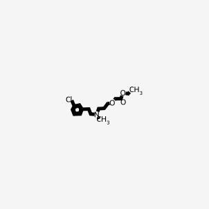 CCOC(=O)COCCCN(C)CCc1cccc(Cl)c1